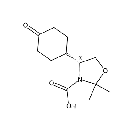 CC1(C)OC[C@@H](C2CCC(=O)CC2)N1C(=O)O